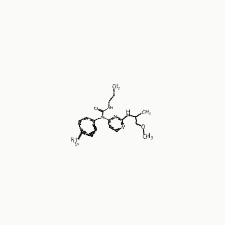 CCCNC(=O)N(c1ccc(C)cc1)c1ccnc(NC(C)COC)n1